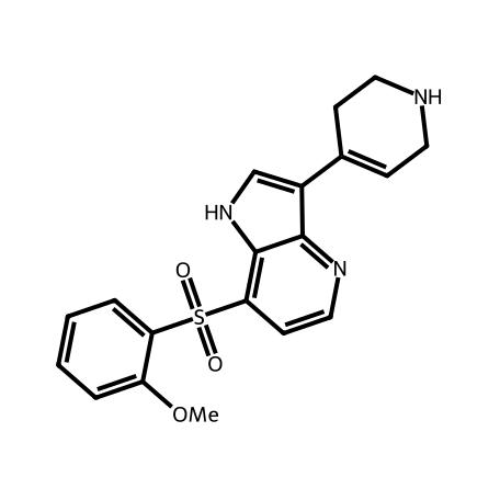 COc1ccccc1S(=O)(=O)c1ccnc2c(C3=CCNCC3)c[nH]c12